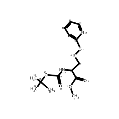 COC(=O)C(CSSc1ccccn1)NC(=O)OC(C)(C)C